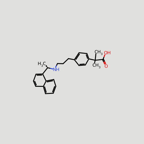 C[C@@H](NCCCc1ccc(C(C)(C)C(=O)O)cc1)c1cccc2ccccc12